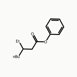 CCCCC(CC)CC(=O)Oc1ccccc1